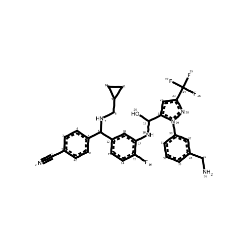 N#Cc1ccc(C(NCC2CC2)c2ccc(F)c(NC(O)c3cc(C(F)(F)F)nn3-c3cccc(CN)c3)c2)cc1